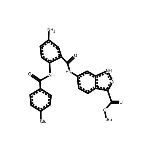 CC(C)(C)OC(=O)c1n[nH]c2cc(NC(=O)c3cc(N)ccc3NC(=O)c3ccc(C(C)(C)C)cc3)ccc12